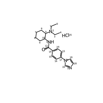 CCN(CC)C1CCCCC1NC(=O)c1ccc(-n2ccnc2)cc1.Cl